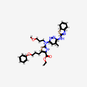 CCOC(=O)c1nc(N(CCCOC)c2cc(C)c(Nc3nc4ccccc4s3)nn2)sc1CCCOc1ccccc1